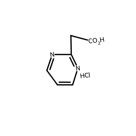 Cl.O=C(O)Cc1ncccn1